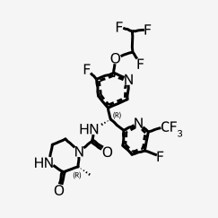 C[C@@H]1C(=O)NCCN1C(=O)N[C@H](c1cnc(OC(F)C(F)F)c(F)c1)c1ccc(F)c(C(F)(F)F)n1